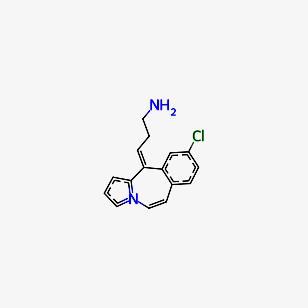 NCCC=C1c2cc(Cl)ccc2C=Cn2cccc21